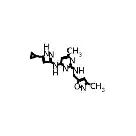 Cc1cc(CNc2nc(C)cc(Nc3cc(C4CC4)[nH]n3)n2)on1